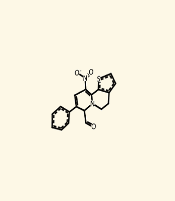 O=CC1C(c2ccccc2)=CC([N+](=O)[O-])=C2c3sccc3CCN21